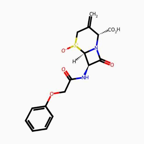 C=C1C[S+]([O-])[C@@H]2[C@H](NC(=O)COc3ccccc3)C(=O)N2[C@H]1C(=O)O